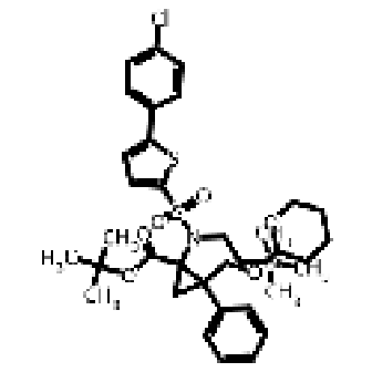 CC(C)(C)OC(=O)C1(N(CC[Si](C)(C)C)S(=O)(=O)c2ccc(-c3ccc(Cl)cc3)s2)CC1(COC1CCCCO1)c1ccccc1